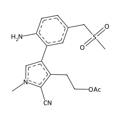 CC(=O)OCCc1c(-c2cc(CS(C)(=O)=O)ccc2N)cn(C)c1C#N